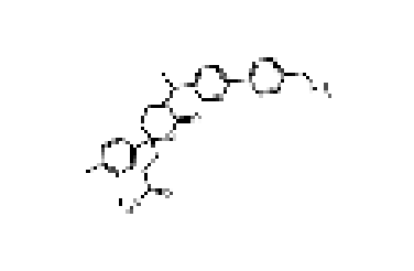 CC(c1ccc(-c2ccc(CN)cc2)cc1)N1CCC(CCC(N)=O)(c2ccc(F)cc2)NC1=O